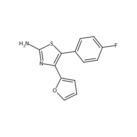 Nc1nc(-c2ccco2)c(-c2ccc(F)cc2)s1